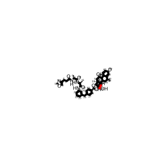 C[C@H](NC(=O)CCc1cocn1)C(=O)N[C@@H](C)C(=O)Nc1cccc(Cc2ccc([C@@H]3O[C@@H]4CC5[C@@H]6C[C@H](F)C7=CC(=O)C=C[C@]7(C)[C@@]6(F)[C@@H](O)C[C@]5(C)[C@]4(C(=O)CO)O3)cc2)c1